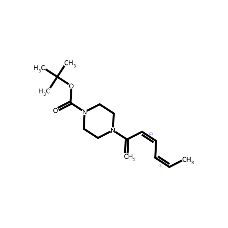 C=C(/C=C\C=C/C)N1CCN(C(=O)OC(C)(C)C)CC1